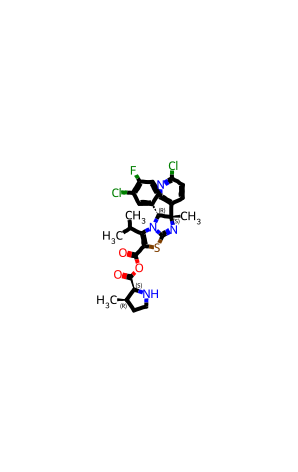 CC(C)C1=C(C(=O)OC(=O)[C@H]2NCC[C@H]2C)SC2=N[C@@](C)(c3ccc(Cl)nc3)[C@@H](c3ccc(F)c(Cl)c3)N21